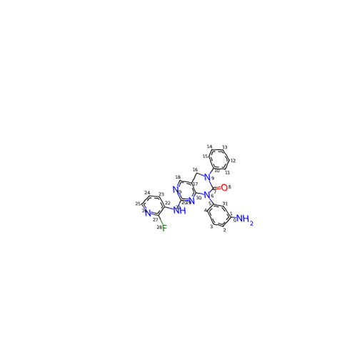 Nc1cccc(N2C(=O)N(c3ccccc3)Cc3cnc(Nc4cccnc4F)nc32)c1